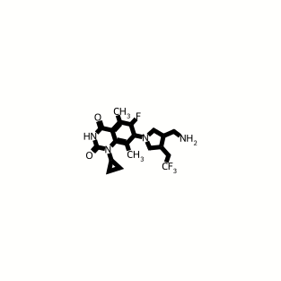 CC1=c2c(=O)[nH]c(=O)n(C3CC3)c2=C(C)C(N2CC(CN)C(CC(F)(F)F)C2)C1F